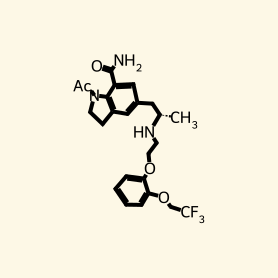 CC(=O)N1CCc2cc(C[C@H](C)NCCOc3ccccc3OCC(F)(F)F)cc(C(N)=O)c21